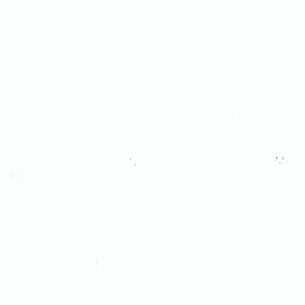 COC(=O)CCC(=O)N(c1cc(O)cc(O)c1)c1ccc(C)cc1C